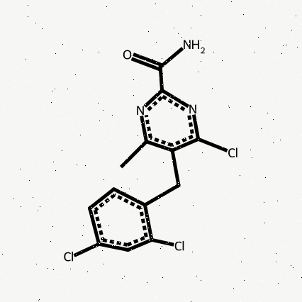 Cc1nc(C(N)=O)nc(Cl)c1Cc1ccc(Cl)cc1Cl